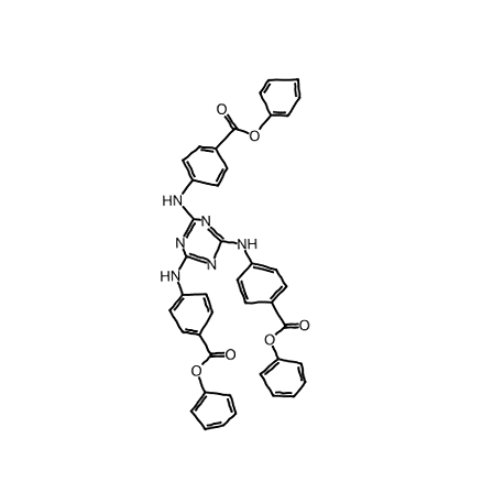 O=C(Oc1ccccc1)c1ccc(Nc2nc(Nc3ccc(C(=O)Oc4ccccc4)cc3)nc(Nc3ccc(C(=O)Oc4ccccc4)cc3)n2)cc1